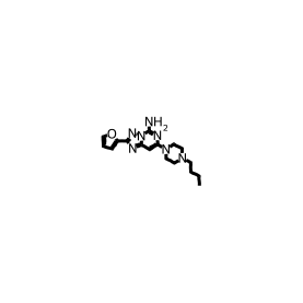 CCCCN1CCN(c2cc3nc(-c4ccco4)nn3c(N)n2)CC1